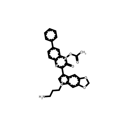 CC(=O)On1c(=O)c(-c2cn(CCCN)c3cc4c(cc23)OCO4)nc2ccc(-c3ccccc3)cc21